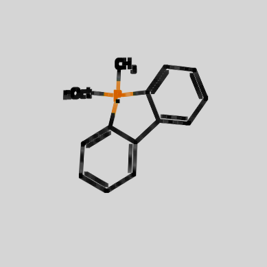 CCCCCCCC[P]1(C)c2ccccc2-c2ccccc21